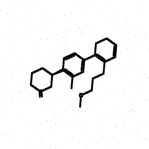 COCCCC1=C(c2ccc([C@@H]3CCCNC3)c(C)c2)CCC=C1